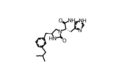 CC(C)Cc1cccc(C[C@H]2CN([C@@H](Cc3c[nH]cn3)C(N)=O)C(=O)N2)c1